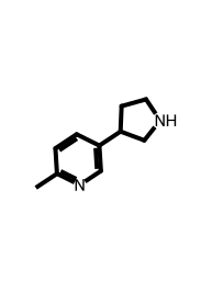 Cc1ccc(C2CCNC2)cn1